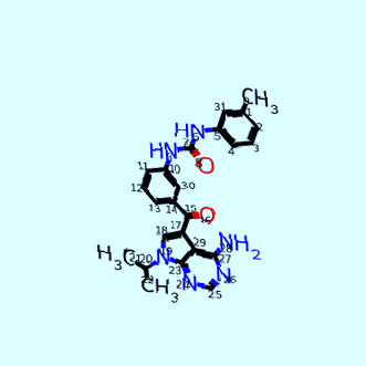 Cc1cccc(NC(=O)Nc2cccc(C(=O)c3cn(C(C)C)c4ncnc(N)c34)c2)c1